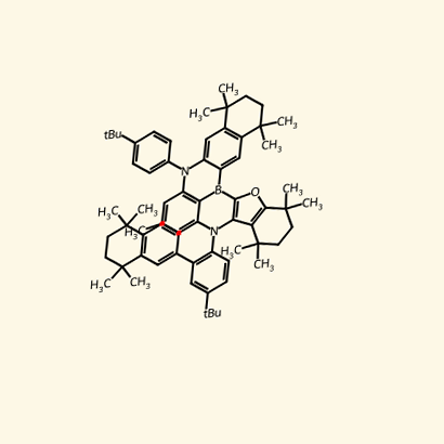 Cc1cc2c3c(c1)N(c1ccc(C(C)(C)C)cc1-c1ccc4c(c1)C(C)(C)CCC4(C)C)c1c(oc4c1C(C)(C)CCC4(C)C)B3c1cc3c(cc1N2c1ccc(C(C)(C)C)cc1)C(C)(C)CCC3(C)C